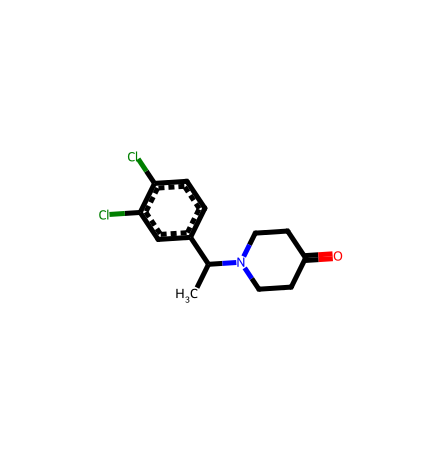 CC(c1ccc(Cl)c(Cl)c1)N1CCC(=O)CC1